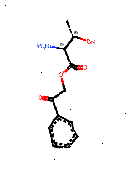 C[C@@H](O)[C@H](N)C(=O)OCC(=O)c1ccccc1